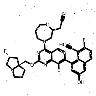 C#Cc1c(F)ccc2cc(O)cc(-c3ncc4c(N5CCCOC(CC#N)C5)nc(OC[C@@]56CCCN5C[C@H](F)C6)nc4c3F)c12